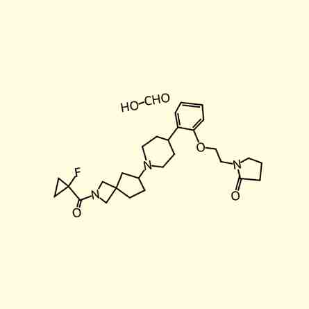 O=C1CCCN1CCOc1ccccc1C1CCN(C2CCC3(C2)CN(C(=O)C2(F)CC2)C3)CC1.O=CO